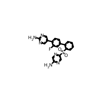 Nc1cnc(S(=O)(=O)c2ccccc2-c2ccc(-c3cnc(N)nc3)c(F)c2)cn1